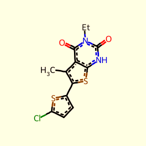 CCn1c(=O)[nH]c2sc(-c3ccc(Cl)s3)c(C)c2c1=O